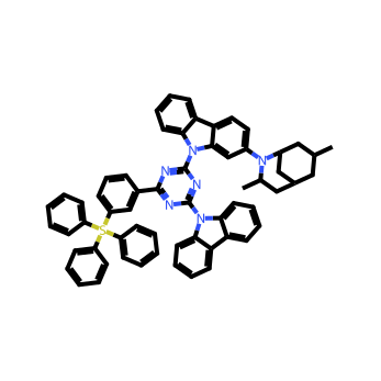 CC1CC2CC(C)N(c3ccc4c5ccccc5n(-c5nc(-c6cccc(S(c7ccccc7)(c7ccccc7)c7ccccc7)c6)nc(-n6c7ccccc7c7ccccc76)n5)c4c3)C(C1)C2